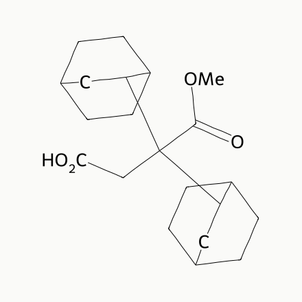 COC(=O)C(CC(=O)O)(C1CC2CCC1CC2)C1CC2CCC1CC2